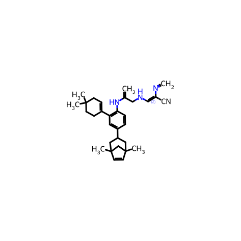 C=N/C(C#N)=C\NCC(=C)Nc1ccc(C2CC3(C)C=CC(C)(C2)C3)cc1C1=CCC(C)(C)CC1